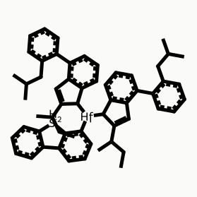 CCC(C)C1=Cc2c(-c3ccccc3CC(C)C)cccc2[CH]1[Hf]([c]1cccc2c1[SiH2]c1ccccc1-2)[CH]1C(C(C)CC)=Cc2c(-c3ccccc3CC(C)C)cccc21